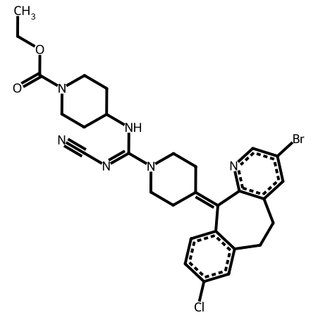 CCOC(=O)N1CCC(NC(=NC#N)N2CCC(=C3c4ccc(Cl)cc4CCc4cc(Br)cnc43)CC2)CC1